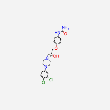 NC(=O)Nc1ccc(OC[C@H](O)CN2CCN(c3ccc(Cl)c(Cl)c3)CC2)cc1